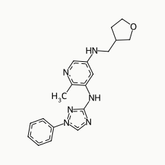 Cc1ncc(NCC2CCOC2)cc1Nc1ncn(-c2ccccc2)n1